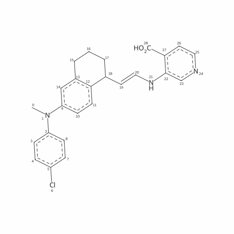 CN(c1ccc(Cl)cc1)c1ccc2c(c1)CCCC2/C=C/Nc1cnccc1C(=O)O